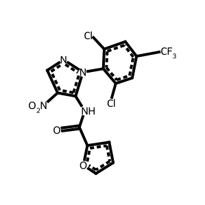 O=C(Nc1c([N+](=O)[O-])cnn1-c1c(Cl)cc(C(F)(F)F)cc1Cl)c1ccco1